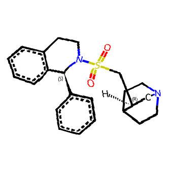 O=S(=O)(C[C@H]1CN2CCC1CC2)N1CCc2ccccc2[C@@H]1c1ccccc1